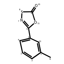 Cc1cccc(-c2nsc(=O)o2)c1